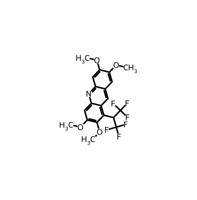 COc1cc2cc3c(C(C(F)(F)F)C(F)(F)F)c(OC)c(OC)cc3nc2cc1OC